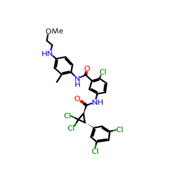 COCCNc1ccc(NC(=O)c2cc(NC(=O)[C@H]3[C@H](c4cc(Cl)cc(Cl)c4)C3(Cl)Cl)ccc2Cl)c(C)c1